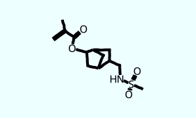 C=C(C)C(=O)OC1CC2CC1CC2CNS(C)(=O)=O